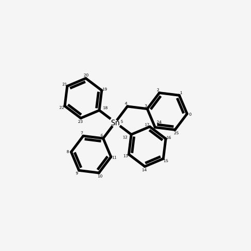 c1ccc([CH2][Sn]([c]2ccccc2)([c]2ccccc2)[c]2ccccc2)cc1